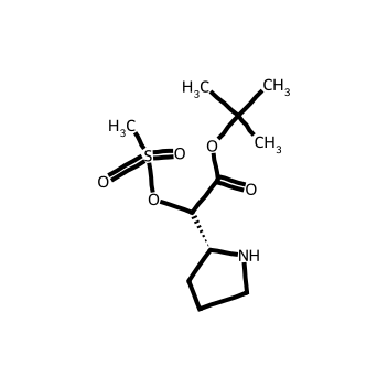 CC(C)(C)OC(=O)C(OS(C)(=O)=O)[C@H]1CCCN1